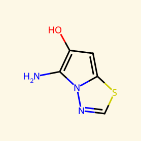 Nc1c(O)cc2scnn12